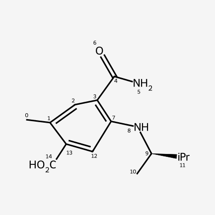 Cc1cc(C(N)=O)c(N[C@H](C)C(C)C)cc1C(=O)O